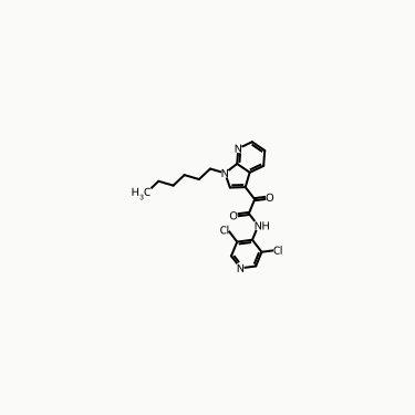 CCCCCCn1cc(C(=O)C(=O)Nc2c(Cl)cncc2Cl)c2cccnc21